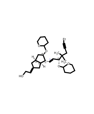 CCC#CCC(C)(C)[C@@H](/C=C/[C@@H]1[C@H]2CC(=CCO)C[C@H]2C[C@H]1OC1CCCCO1)OC1CCCCO1